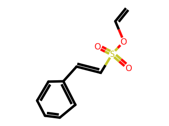 C=COS(=O)(=O)C=Cc1ccccc1